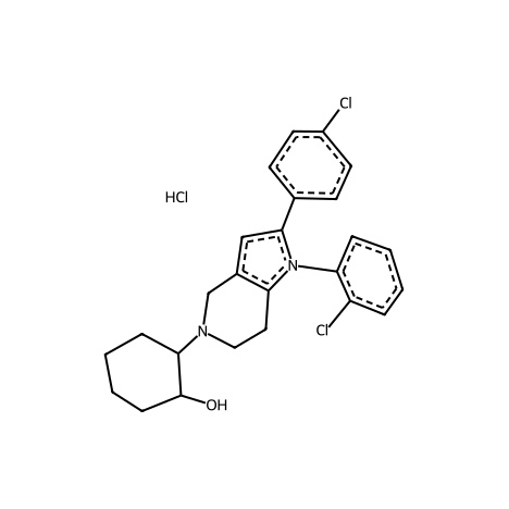 Cl.OC1CCCCC1N1CCc2c(cc(-c3ccc(Cl)cc3)n2-c2ccccc2Cl)C1